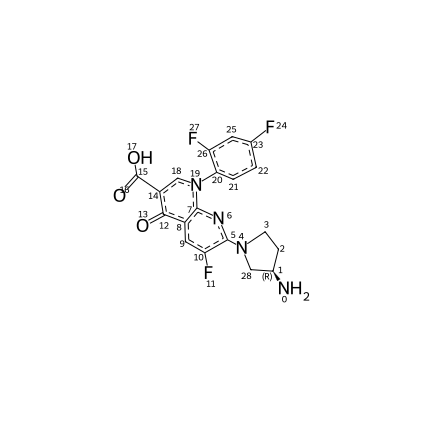 N[C@@H]1CCN(c2nc3c(cc2F)c(=O)c(C(=O)O)cn3-c2ccc(F)cc2F)C1